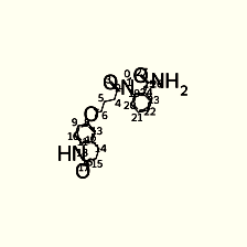 CN(C(=O)CCCOc1ccc2c(c1)CCC(=O)N2)c1ccccc1C(N)=O